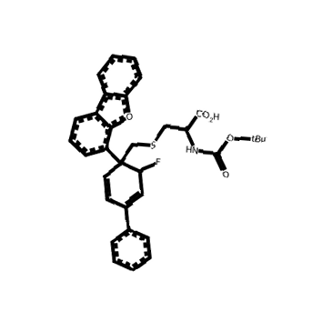 CC(C)(C)OC(=O)NC(CSCC1(c2cccc3c2oc2ccccc23)C=CC(c2ccccc2)=CC1F)C(=O)O